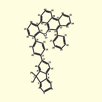 CC1(C)c2ccccc2-c2ccc(-c3ccc(-c4cccc5c4Oc4c(-c6ccccc6)c6ccccc6c6cccc-5c46)cc3)cc21